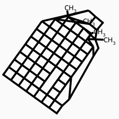 CC1C23C4CC5C6CC7C8C9C%10C%11C%12C%13C%14C%15CC%16C%17C%18C%19C%20C%21CC%22C4C4%23C%24C%25C%26C%24C4%24C4%27C%23C%23C2C2%28C%234C4%23C%27%29C%24%27C%24C%30C%19(C%20%26C%22%21%25)C%18%19C%17%18C%16%15C%14%15C%13%14C%12%13C%11%12C%10%11C9%10C89C76C6(C)C7(C)C58C1(C)C32C81C72C69C%103C%115C%126C%137C%148C%24(C%30%19C%18%158)C%277C%296C45C23C%281%23